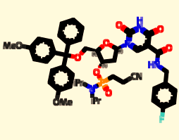 COc1ccc(C(OC[C@H]2O[C@@H](n3cc(C(=O)NCc4ccc(F)cc4)c(=O)[nH]c3=O)C[C@@H]2OP(=O)(CCC#N)N(C(C)C)C(C)C)(c2ccccc2)c2ccc(OC)cc2)cc1